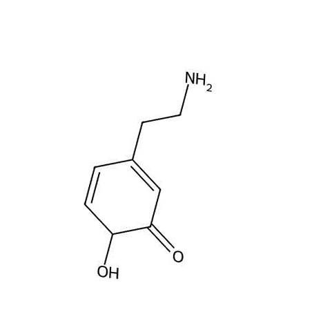 NCCC1=CC(=O)C(O)C=C1